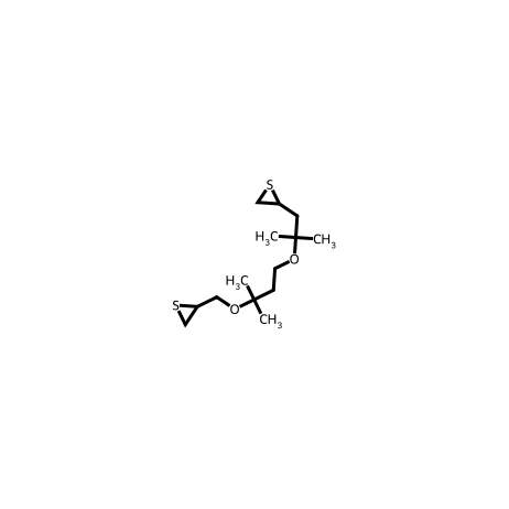 CC(C)(CCOC(C)(C)CC1CS1)OCC1CS1